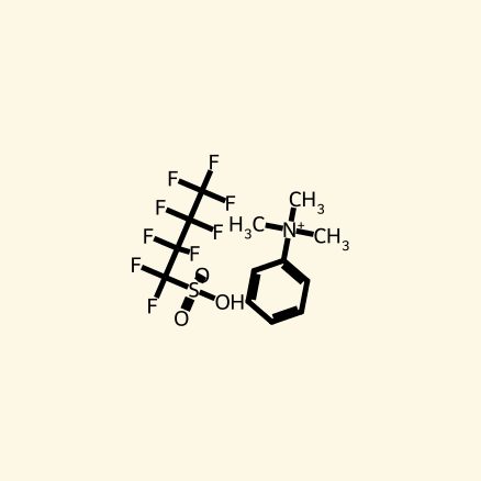 C[N+](C)(C)c1ccccc1.O=S(=O)(O)C(F)(F)C(F)(F)C(F)(F)C(F)(F)F